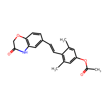 CC(=O)Oc1cc(C)c(C=Cc2ccc3c(c2)NC(=O)CO3)c(C)c1